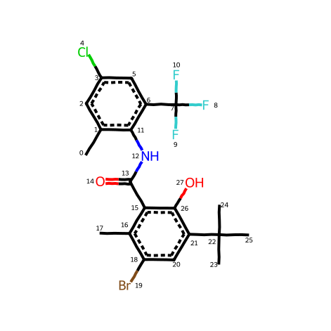 Cc1cc(Cl)cc(C(F)(F)F)c1NC(=O)c1c(C)c(Br)cc(C(C)(C)C)c1O